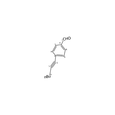 CCCCC#Cc1ccc(C=O)cc1